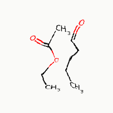 CCCC=O.CCOC(C)=O